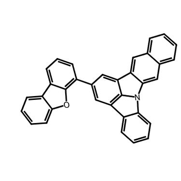 c1ccc2cc3c(cc2c1)c1cc(-c2cccc4c2oc2ccccc24)cc2c4ccccc4n3c21